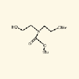 COCCN(CCO)C(=O)OC(C)(C)C